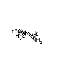 CCCCOC(=O)N1CCN(CCOc2ccc(N)cc2CC(F)F)C[C@@H]1C